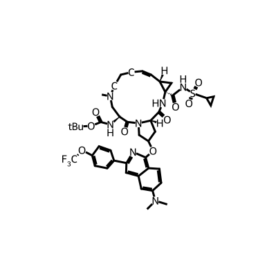 CN1CCC/C=C\[C@@H]2C[C@@]2(C(=O)NS(=O)(=O)C2CC2)NC(=O)[C@@H]2CC(Oc3nc(-c4ccc(OC(F)(F)F)cc4)cc4cc(N(C)C)ccc34)CN2C(=O)[C@@H](NC(=O)OC(C)(C)C)C1